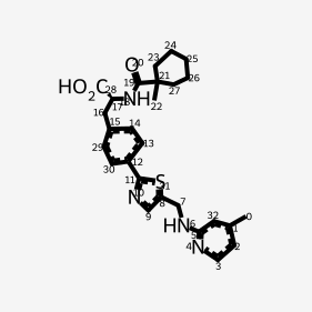 Cc1ccnc(NCc2cnc(-c3ccc(C[C@H](NC(=O)C4(C)CCCCC4)C(=O)O)cc3)s2)c1